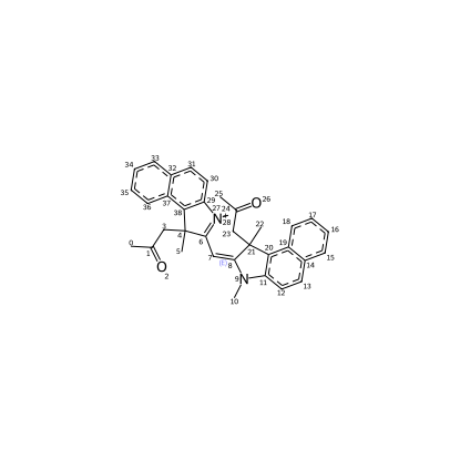 CC(=O)CC1(C)C(/C=C2/N(C)c3ccc4ccccc4c3C2(C)CC(C)=O)=[N+](C)c2ccc3ccccc3c21